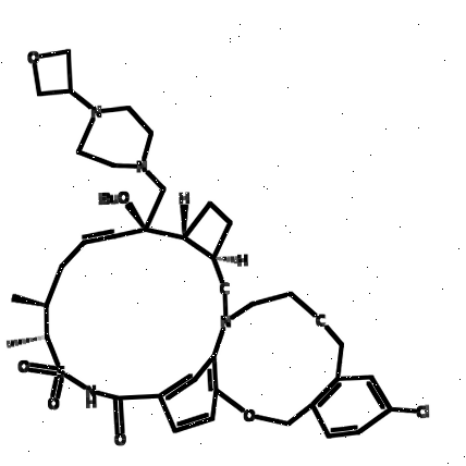 CC(C)CO[C@]1(CN2CCN(C3COC3)CC2)/C=C/C[C@H](C)[C@@H](C)S(=O)(=O)NC(=O)c2ccc3c(c2)N(CCCCc2cc(Cl)ccc2CO3)C[C@@H]2CC[C@H]21